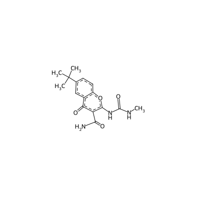 CNC(=O)Nc1oc2ccc(C(C)(C)C)cc2c(=O)c1C(N)=O